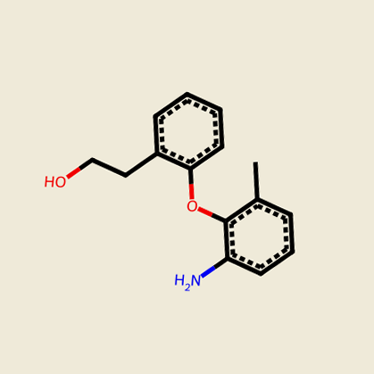 Cc1cccc(N)c1Oc1ccccc1CCO